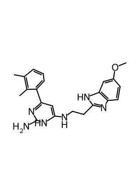 COc1ccc2nc(CCNC3=CC(c4cccc(C)c4C)=NC(N)N3)[nH]c2c1